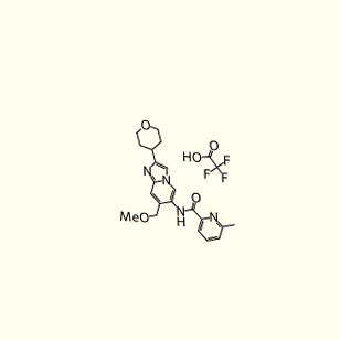 COCc1cc2nc(C3CCOCC3)cn2cc1NC(=O)c1cccc(C)n1.O=C(O)C(F)(F)F